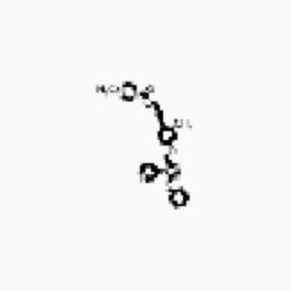 Cc1cc(OCc2nnc(SC3C=CCCC3)n2-c2cccnc2)ccc1C#CCOC(=O)N1CCN(C)CC1